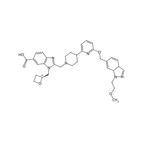 COCCN1N=CC2C=CC(COc3cccc(C4CCN(Cc5nc6ccc(C(=O)O)cc6n5C[C@@H]5CCO5)CC4)n3)=CC21